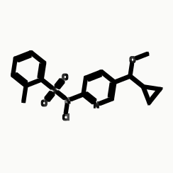 COC(c1ccc(N(Cl)S(=O)(=O)c2ccccc2C)nc1)C1CC1